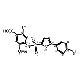 COc1cc(C(=O)O)c(F)cc1NS(=O)(=O)c1ccc(-c2ccc(C(F)(F)F)cc2)s1